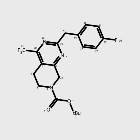 CC(C)(C)OC(=O)N1CCc2c(nc(Cc3ccc(F)cc3)nc2C(F)(F)F)C1